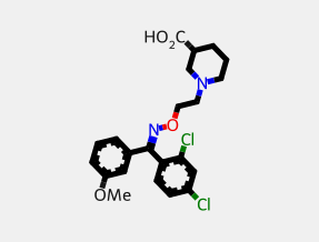 COc1cccc(C(=NOCCN2CCCC(C(=O)O)C2)c2ccc(Cl)cc2Cl)c1